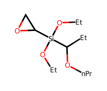 CCCOC(CC)[Si](OCC)(OCC)C1CO1